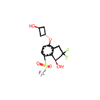 O=S(=O)(c1ccc(O[C@H]2C[C@H](O)C2)c2c1[C@H](O)C(F)(F)C2)C(F)(F)F